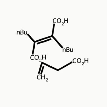 C=CCC(=O)O.CCCCC(C(=O)O)=C(CCCC)C(=O)O